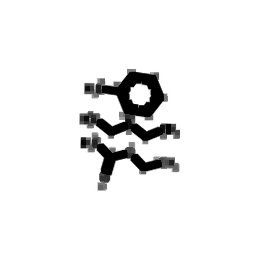 CCNCC.CCOC(C)=O.Cc1ccccc1